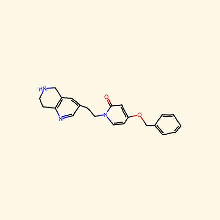 O=c1cc(OCc2ccccc2)ccn1CCc1cnc2c(c1)CNCC2